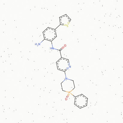 Nc1ccc(-c2cccs2)cc1NC(=O)c1ccc(N2CCP(=O)(c3ccccc3)CC2)nc1